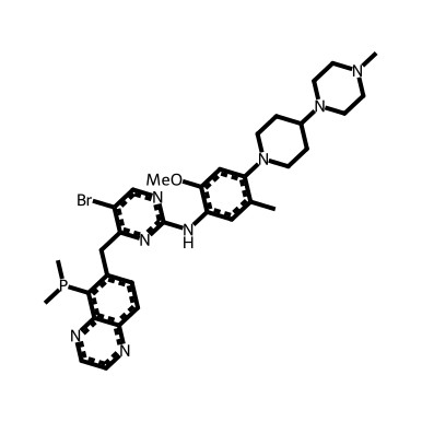 COc1cc(N2CCC(N3CCN(C)CC3)CC2)c(C)cc1Nc1ncc(Br)c(Cc2ccc3nccnc3c2P(C)C)n1